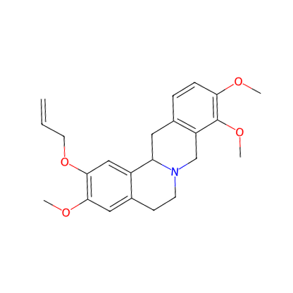 C=CCOc1cc2c(cc1OC)CCN1Cc3c(ccc(OC)c3OC)CC21